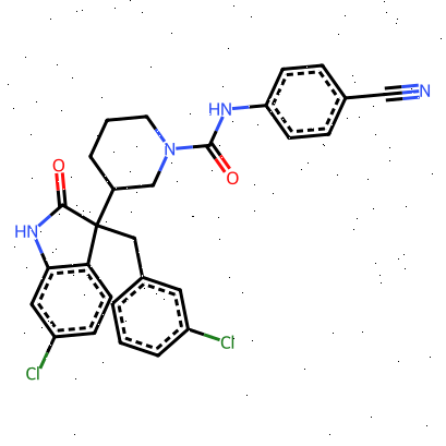 N#Cc1ccc(NC(=O)N2CCCC(C3(Cc4cccc(Cl)c4)C(=O)Nc4cc(Cl)ccc43)C2)cc1